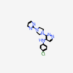 Clc1ccc(Nc2ccnnc2N2CCN(c3ncccn3)CC2)cc1